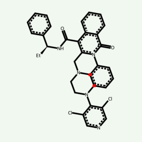 CC[C@H](NC(=O)c1c(CN2CCN(c3c(Cl)cncc3Cl)CC2)n(-c2ccccc2)c(=O)c2ccccc12)c1ccccc1